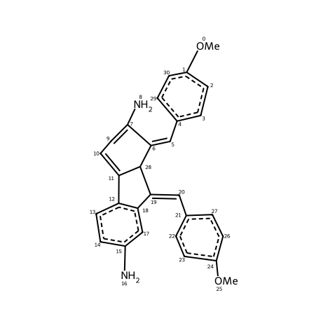 COc1ccc(C=C2C(N)=CC=C3c4ccc(N)cc4C(=Cc4ccc(OC)cc4)C23)cc1